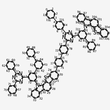 c1ccc(-c2ccc(-c3nc(-c4ccc(-c5ccc(-c6ccc7c(c6)sc6c7ccc7c8ccccc8n(-c8cc(-c9cccc(-c%10ccccc%10)c9)cc(-c9nc(-c%10ccccc%10)nc(-c%10ccccc%10)n9)c8)c76)cc5)cc4)nc(-c4cc(-c5ccccc5)cc(-n5c6ccccc6c6ccc7c8ccccc8sc7c65)c4)n3)cc2)cc1